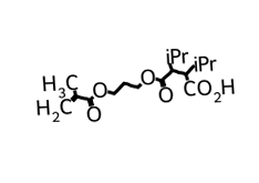 C=C(C)C(=O)OCCCOC(=O)C(C(C)C)C(C(=O)O)C(C)C